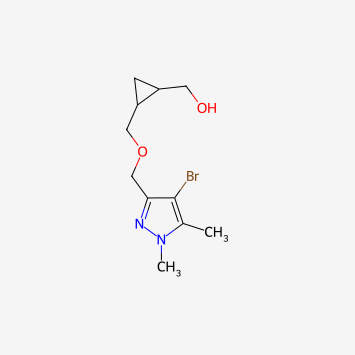 Cc1c(Br)c(COCC2CC2CO)nn1C